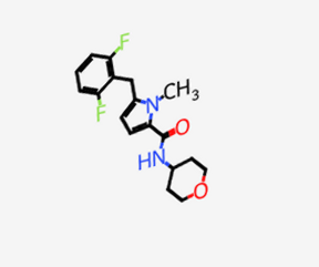 Cn1c(Cc2c(F)cccc2F)ccc1C(=O)NC1CCOCC1